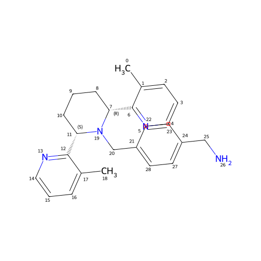 Cc1cccnc1[C@H]1CCC[C@@H](c2ncccc2C)N1Cc1ccc(CN)cc1